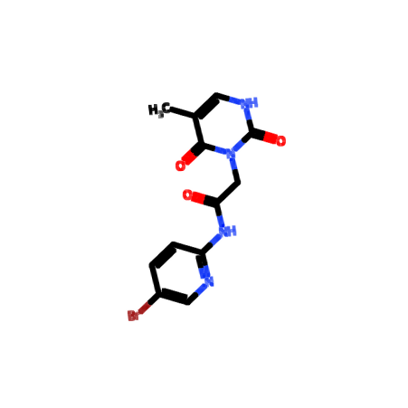 Cc1c[nH]c(=O)n(CC(=O)Nc2ccc(Br)cn2)c1=O